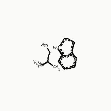 CC(=O)OCC(C)N.c1ccc2[nH]ccc2c1